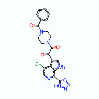 O=C(C(=O)N1CCN(C(=O)c2ccccc2)CC1)c1c[nH]c2c(-c3nnn[nH]3)ncc(Cl)c12